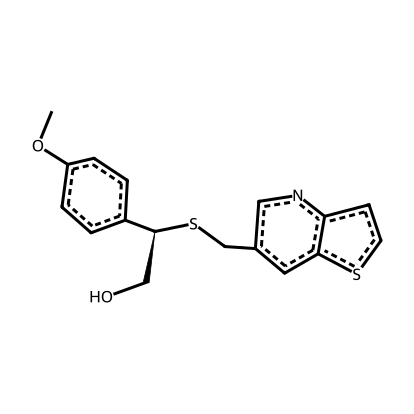 COc1ccc([C@H](CO)SCc2cnc3ccsc3c2)cc1